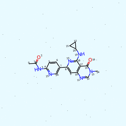 CC(=O)Nc1ccc(-c2cc3ncn(C)c(=O)c3c(NC3CC3)n2)cn1